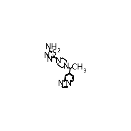 CC(c1ccn2ccnc2c1)N1CCN(c2nnc(N)s2)CC1